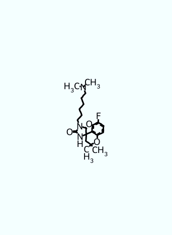 CN(C)CCCCCCN1C(=O)NC2(CC(C)(C)Oc3ccc(F)cc32)C1=O